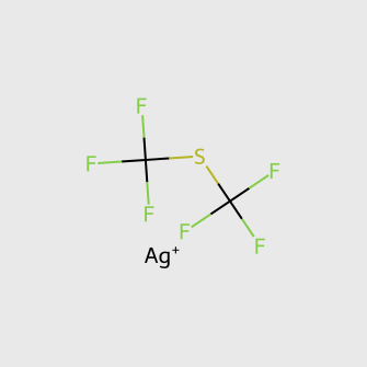 FC(F)(F)SC(F)(F)F.[Ag+]